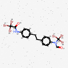 O=CN(c1ccc(CCc2ccc(NC(=O)C(Br)(Br)Br)cc2)cc1)C(Br)(Br)Br